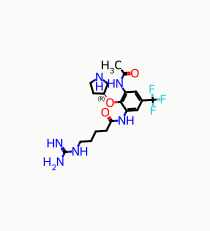 CC(=O)Nc1cc(C(F)(F)F)cc(NC(=O)CCCCNC(=N)N)c1O[C@@H]1CCNC1